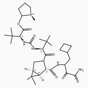 C[C@@H]1CCCC1OC(=O)[C@@H](NC(=O)N[C@H](C(=O)N1C[C@H]2[C@@H]([C@H]1C(=O)NC(CC1CCC1)C(=O)C(N)=O)C2(C)C)C(C)(C)C)C(C)(C)C